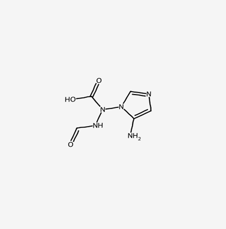 Nc1cncn1N(NC=O)C(=O)O